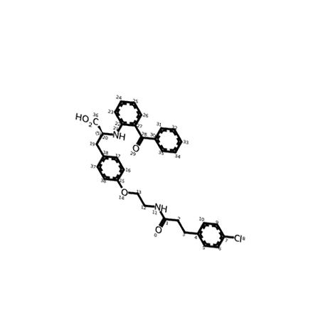 O=C(CCc1ccc(Cl)cc1)NCCOc1ccc(C[C@H](Nc2ccccc2C(=O)c2ccccc2)C(=O)O)cc1